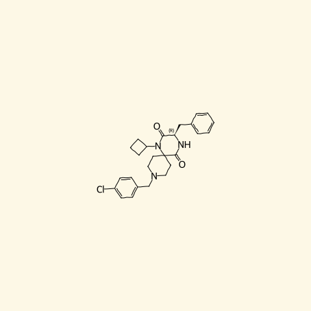 O=C1[C@@H](Cc2ccccc2)NC(=O)C2(CCN(Cc3ccc(Cl)cc3)CC2)N1C1CCC1